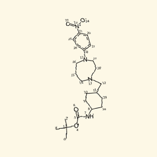 CC(C)(C)OC(=O)NC1CCC(CN2CCCN(c3ccc([N+](=O)[O-])cc3)CC2)CC1